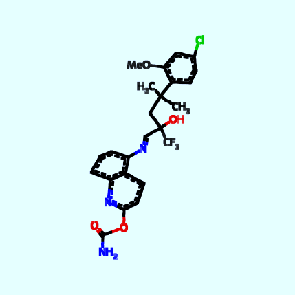 COc1cc(Cl)ccc1C(C)(C)CC(O)(C=Nc1cccc2nc(OC(N)=O)ccc12)C(F)(F)F